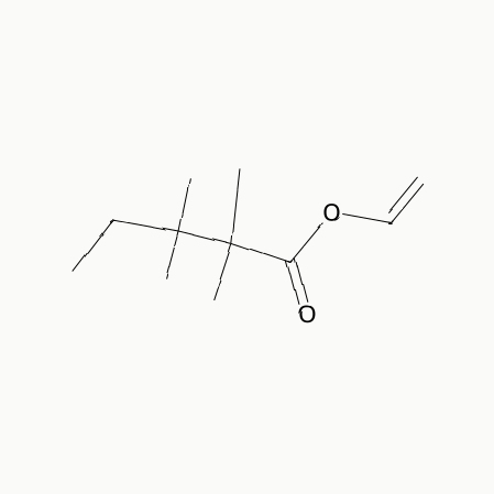 C=COC(=O)C(C)(C)C(C)(C)CC